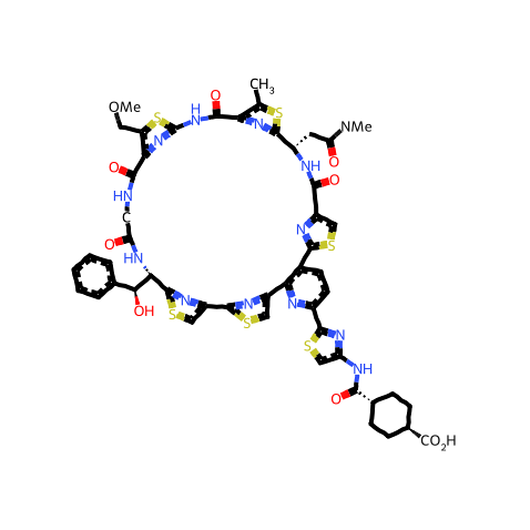 CNC(=O)C[C@@H]1NC(=O)c2csc(n2)-c2ccc(-c3nc(NC(=O)[C@H]4CC[C@H](C(=O)O)CC4)cs3)nc2-c2csc(n2)-c2csc(n2)[C@H]([C@@H](O)c2ccccc2)NC(=O)CNC(=O)c2nc(sc2COC)NC(=O)c2nc1sc2C